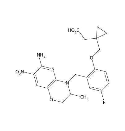 CC1COc2cc([N+](=O)[O-])c(N)nc2N1Cc1cc(F)ccc1OCC1(CC(=O)O)CC1